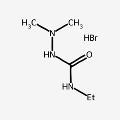 Br.CCNC(=O)NN(C)C